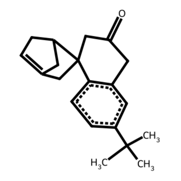 CC(C)(C)c1ccc2c(c1)CC(=O)CC21CC2=CCC1C2